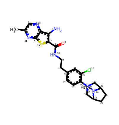 Cc1cnc2c(N)c(C(=O)NCCc3ccc(N4CC5CCC(C4)N5C(=O)O)c(Cl)c3)sc2n1